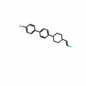 CCc1ccc(-c2ccc(C3CCC(C=CF)CC3)cc2)cc1